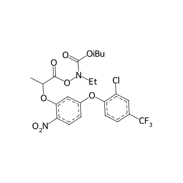 CCN(OC(=O)C(C)Oc1cc(Oc2ccc(C(F)(F)F)cc2Cl)ccc1[N+](=O)[O-])C(=O)OCC(C)C